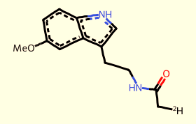 [2H]CC(=O)NCCc1c[nH]c2ccc(OC)cc12